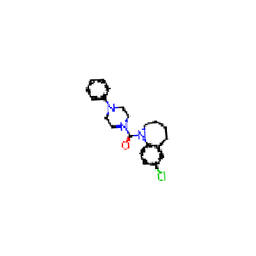 O=C(N1CCN(c2ccccc2)CC1)N1CCCCc2cc(Cl)ccc21